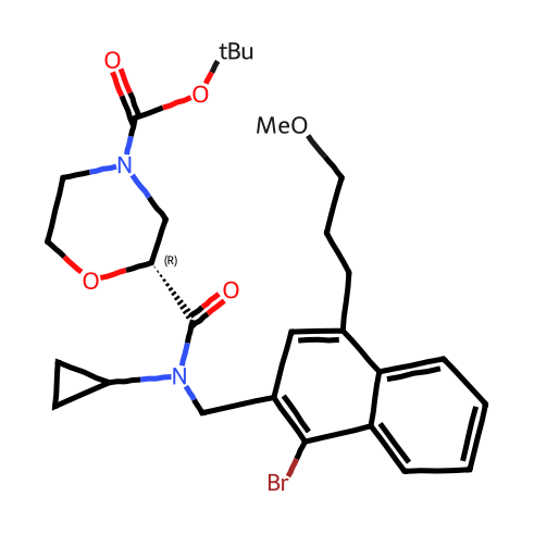 COCCCc1cc(CN(C(=O)[C@H]2CN(C(=O)OC(C)(C)C)CCO2)C2CC2)c(Br)c2ccccc12